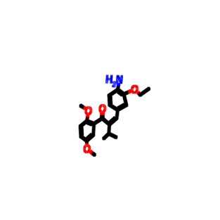 CCOc1cc(C=C(C(=O)c2cc(OC)ccc2OC)C(C)C)ccc1N